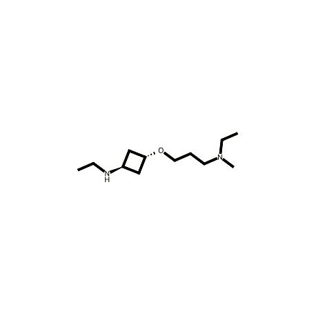 CCN[C@H]1C[C@H](OCCCN(C)CC)C1